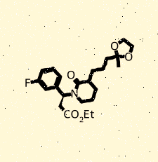 CCOC(=O)C[C@@H](c1cccc(F)c1)N1CCCC(CCCC2(C)OCCO2)C1=O